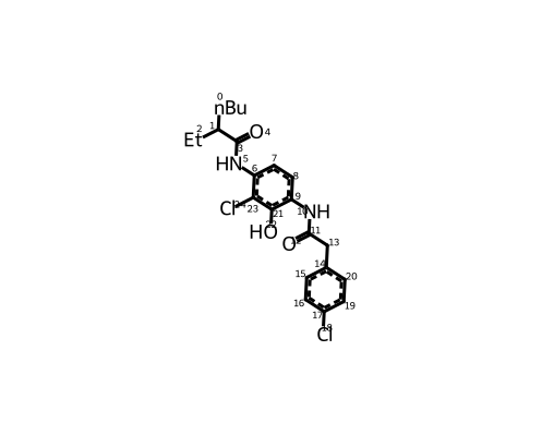 CCCCC(CC)C(=O)Nc1ccc(NC(=O)Cc2ccc(Cl)cc2)c(O)c1Cl